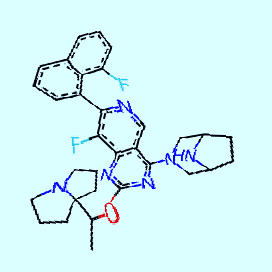 CC(Oc1nc(N2CC3CCC(C2)N3)c2cnc(-c3cccc4cccc(F)c34)c(F)c2n1)C12CCCN1CCC2